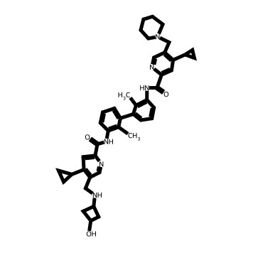 Cc1c(NC(=O)c2cc(C3CC3)c(CNC3CC(O)C3)cn2)cccc1-c1cccc(NC(=O)c2cc(C3CC3)c(CN3CCCCC3)cn2)c1C